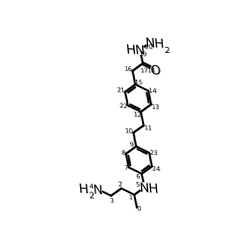 CC(CCN)Nc1ccc(CCc2ccc(CC(=O)NN)cc2)cc1